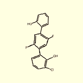 Oc1ccccc1-c1cc(F)c(-c2cccc(Cl)c2O)cc1F